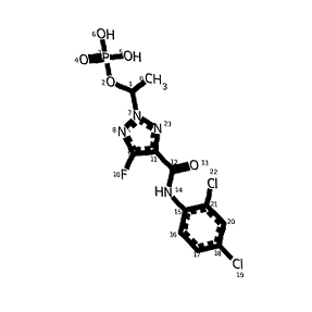 CC(OP(=O)(O)O)n1nc(F)c(C(=O)Nc2ccc(Cl)cc2Cl)n1